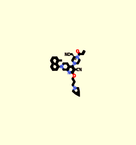 C=CC(=O)N1CCN(c2c(C#N)c(OCCCN3CC4CC4C3)nc3c2CCN(c2cccc4cccc(C)c24)C3)C[C@@H]1CC#N